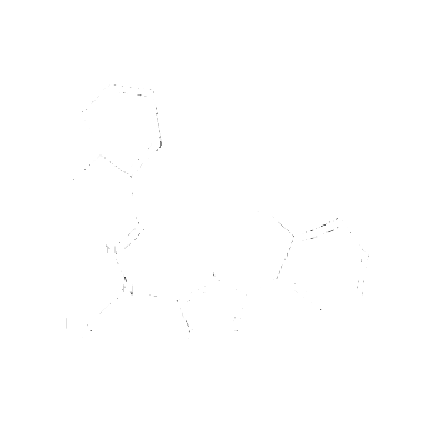 CN(/N=C/c1ccccc1I)c1nc(-c2ccccc2Cl)cs1